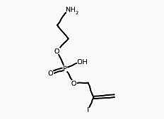 C=C(I)COP(=O)(O)OCCN